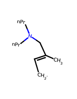 [CH2]C=C(C)CN(CCC)CCC